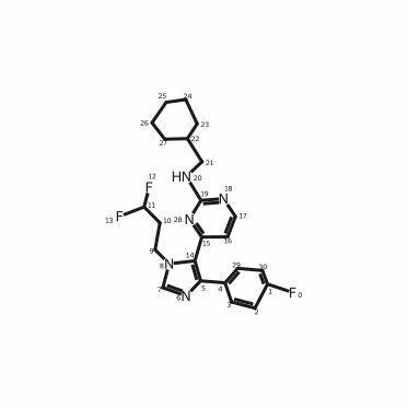 Fc1ccc(-c2ncn(CCC(F)F)c2-c2ccnc(NCC3CCCCC3)n2)cc1